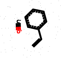 C=Cc1ccccc1.[C-]#[O+]